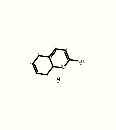 CC1=CC=C2CC=CCC2N1.[Al]